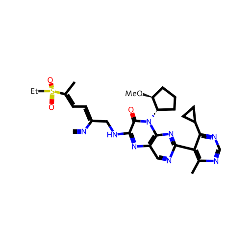 C=N/C(=C\C=C(/C)S(=O)(=O)CC)CNc1nc2cnc(-c3c(C)ncnc3C3CC3)nc2n([C@H]2CCC[C@@H]2OC)c1=O